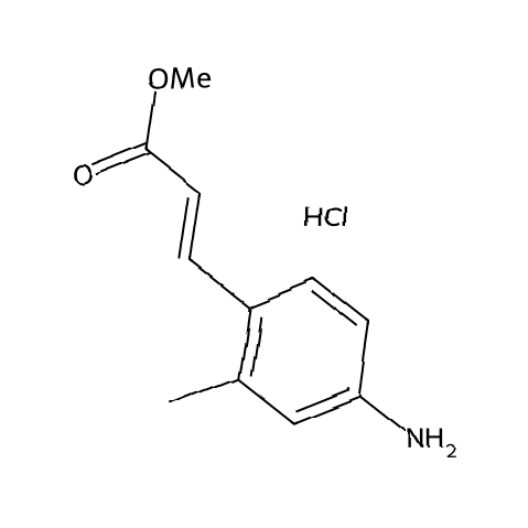 COC(=O)C=Cc1ccc(N)cc1C.Cl